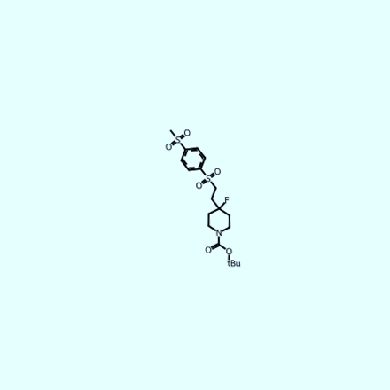 CC(C)(C)OC(=O)N1CCC(F)(CCS(=O)(=O)c2ccc(S(C)(=O)=O)cc2)CC1